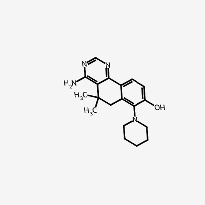 CC1(C)Cc2c(ccc(O)c2N2CCCCC2)-c2ncnc(N)c21